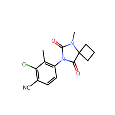 Cc1c(N2C(=O)N(C)C3(CCC3)C2=O)ccc(C#N)c1Cl